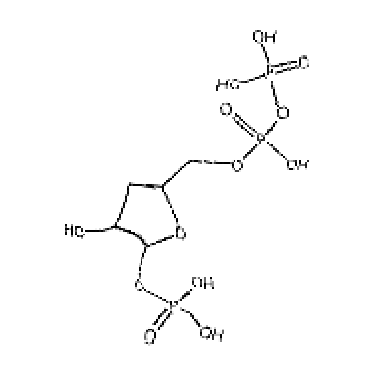 O=P(O)(O)OC1OC(COP(=O)(O)OP(=O)(O)O)CC1O